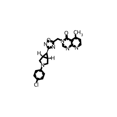 Cc1ccnc2ncn(Cc3nc([C@H]4[C@@H]5CN(c6ccc(Cl)cc6)C[C@@H]54)no3)c(=O)c12